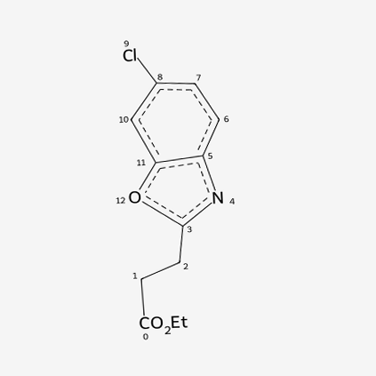 CCOC(=O)CCc1nc2ccc(Cl)cc2o1